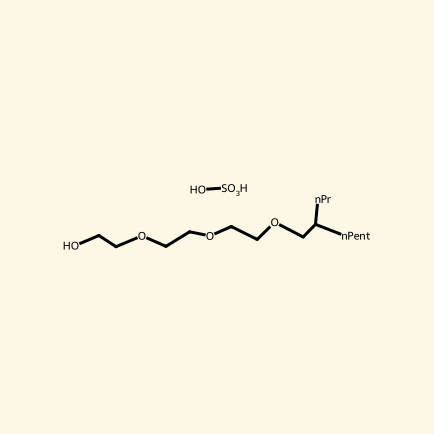 CCCCCC(CCC)COCCOCCOCCO.O=S(=O)(O)O